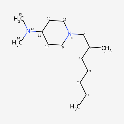 CCCCCC(C)CN1CCC(N(C)C)CC1